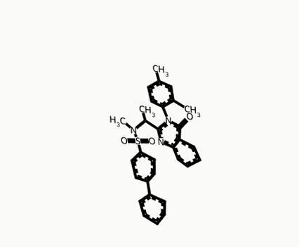 Cc1ccc(-n2c(C(C)N(C)S(=O)(=O)c3ccc(-c4ccccc4)cc3)nc3ccccc3c2=O)c(C)c1